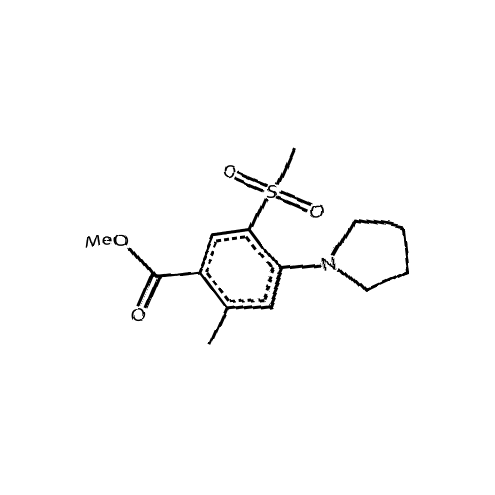 COC(=O)c1cc(S(C)(=O)=O)c(N2CCCC2)cc1C